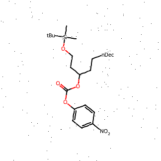 CCCCCCCCCCCCC(CCO[Si](C)(C)C(C)(C)C)OC(=O)Oc1ccc([N+](=O)[O-])cc1